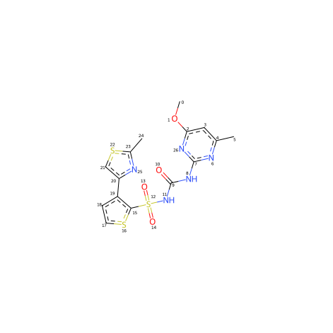 COc1cc(C)nc(NC(=O)NS(=O)(=O)c2sccc2-c2csc(C)n2)n1